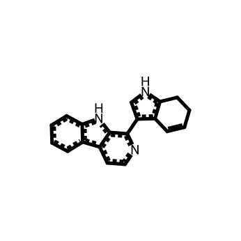 C1=Cc2c(-c3nccc4c3[nH]c3ccccc34)c[nH]c2CC1